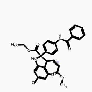 CCOC(=O)C1(c2ccc(NC(=O)c3ccccc3)cc2)Nc2cc(Cl)cc(Cl)c2C1/C=C\C(=O)OC